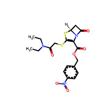 CCN(CC)C(=O)CSC1=C(C(=O)OCc2ccc([N+](=O)[O-])cc2)N2C(=O)C[C@@H]2S1